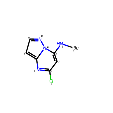 CCC(C)Nc1cc(Cl)nc2ccnn12